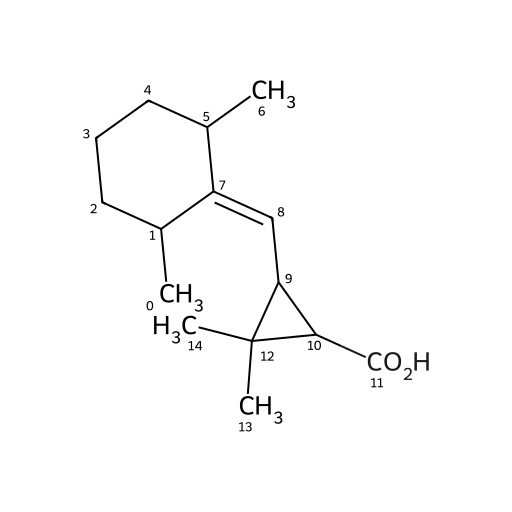 CC1CCCC(C)C1=CC1C(C(=O)O)C1(C)C